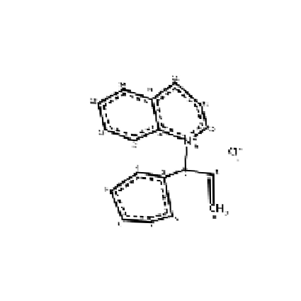 C=CC(c1ccccc1)[n+]1cccc2ccccc21.[Cl-]